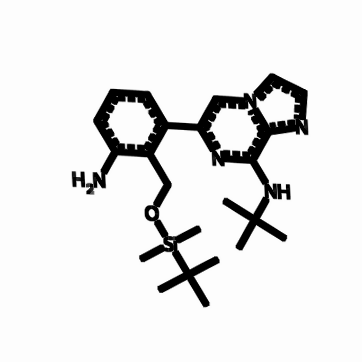 CC(C)(C)Nc1nc(-c2cccc(N)c2CO[Si](C)(C)C(C)(C)C)cn2ccnc12